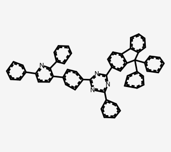 c1ccc(-c2ccc(-c3ccc(-c4nc(-c5ccccc5)nc(-c5ccc6c(c5)C(c5ccccc5)(c5ccccc5)c5ccccc5-6)n4)cc3)c(-c3ccccc3)n2)cc1